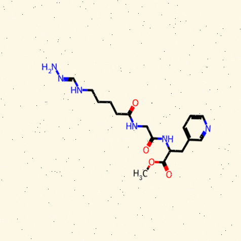 COC(=O)C(Cc1cccnc1)NC(=O)CNC(=O)CCCCNC=NN